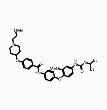 CCC(CC)NC(=O)Nc1ccc(Oc2ccc(NC(=O)c3ccc(OC4CCN(CCOC)CC4)cc3)cc2)c(OC)c1